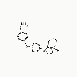 NCc1ccc(Sc2ccc([C@H]3CC[C@H]4CCCCN43)cc2)cc1